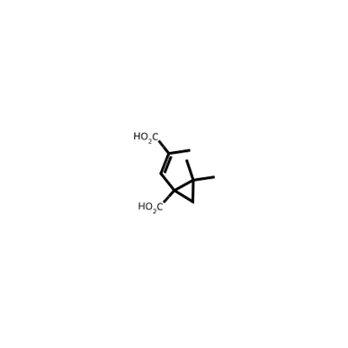 CC(=CC1(C(=O)O)CC1(C)C)C(=O)O